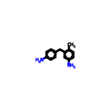 Cc1ccc(N)cc1Cc1ccc(N)cc1